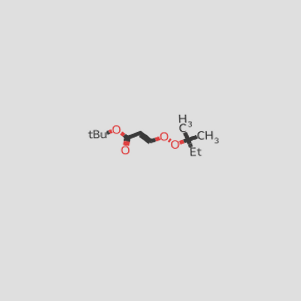 [C]C(C)(C)OC(=O)C=COOC(C)(C)CC